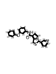 O=C(Nc1cccc(Oc2ccccc2)c1)c1ccn2c1CSC2c1cccnc1